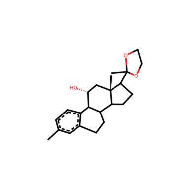 Cc1ccc2c(c1)CCC1C2[C@H](O)C[C@@]2(C)C1CCC2C1(C)OCCO1